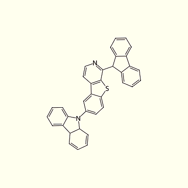 C1=CC2c3ccccc3N(c3ccc4sc5c(C6c7ccccc7-c7ccccc76)nccc5c4c3)C2C=C1